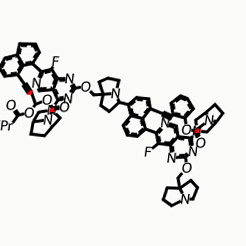 C#Cc1cccc2cccc(-c3ncc4c(N5CC6CCC(C5)N6C(=O)OC(C)OC(=O)C(C)C)nc(OCC56CCCN5C(c5ccc(C#C)c7c(-c8ncc9c(N%10CC%11CCC(C%10)N%11C(=O)Oc%10ccccc%10)nc(OCC%10%11CCCN%10CCC%11)nc9c8F)cccc57)CC6)nc4c3F)c12